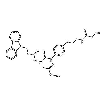 CC(C)(C)OC(=O)C[C@H](NC(=O)OCC1c2ccccc2-c2ccccc21)C(=O)Nc1ccc(OCCNC(=O)OC(C)(C)C)cc1